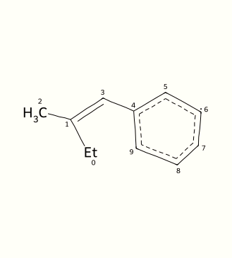 CC/C(C)=C\c1c[c]ccc1